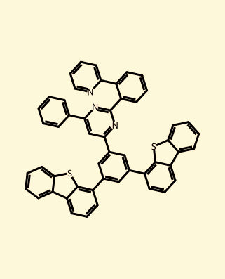 c1ccc(-c2cc(-c3cc(-c4cccc5c4sc4ccccc45)cc(-c4cccc5c4sc4ccccc45)c3)nc(-c3ccccc3-c3ccccn3)n2)cc1